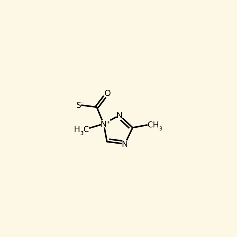 CC1=N[N+](C)(C(=O)[S-])C=N1